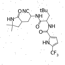 CC(C)(C)CC(NC(=O)c1ccc(C(F)(F)F)[nH]1)C(=O)NC(C#N)CC1CC(C)(C)NC1=O